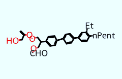 C=C(CO)OOCC(COC=O)c1ccc(-c2ccc(-c3ccc(CCCCC)c(CC)c3)cc2)cc1